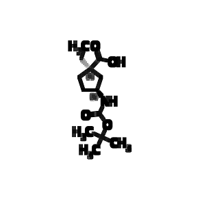 CC[C@@]1(C(=O)O)CC[C@H](NC(=O)OC(C)(C)C)C1